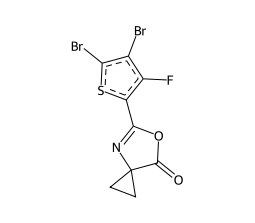 O=C1OC(c2sc(Br)c(Br)c2F)=NC12CC2